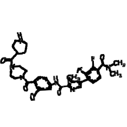 CN(C)C(=O)c1ccc(-c2cnc(C(=O)Nc3ccc(C(=O)N4CCN(C(=O)C5CCNCC5)CC4)c(Cl)c3)n2C)c(F)c1F